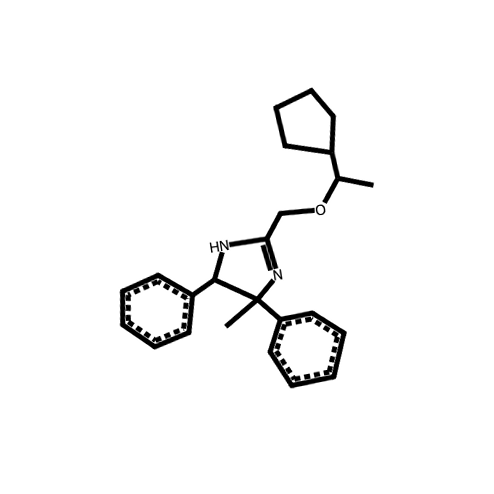 CC(OCC1=NC(C)(c2ccccc2)C(c2ccccc2)N1)C1CCCC1